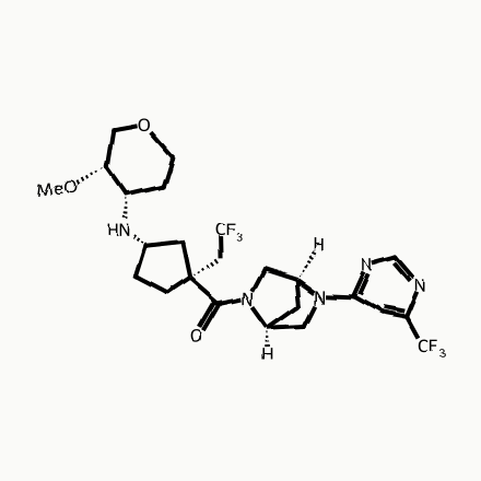 CO[C@@H]1COCC[C@@H]1N[C@H]1CC[C@](CC(F)(F)F)(C(=O)N2C[C@@H]3C[C@H]2CN3c2cc(C(F)(F)F)ncn2)C1